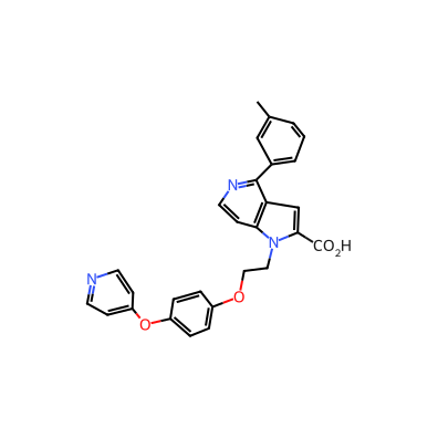 Cc1cccc(-c2nccc3c2cc(C(=O)O)n3CCOc2ccc(Oc3ccncc3)cc2)c1